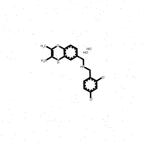 CC1=C(N)Nc2cc(CNCc3ccc(Cl)cc3Cl)ccc2O1.Cl.Cl